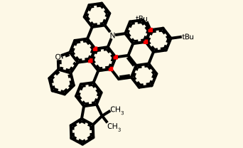 CC(C)(C)c1cc(-c2cccc3c2=C(c2ccccc2N(c2ccc(-c4ccc5c(c4)C(C)(C)c4ccccc4-5)cc2)c2ccccc2-c2ccc4c(c2)oc2ccccc24)CCC=3)cc(C(C)(C)C)c1